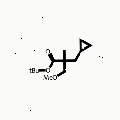 COCC(C)(CC1CC1)C(=O)OC(C)(C)C